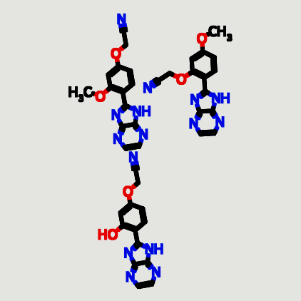 COc1cc(OCC#N)ccc1-c1nc2nccnc2[nH]1.COc1ccc(-c2nc3nccnc3[nH]2)c(OCC#N)c1.N#CCOc1ccc(-c2nc3nccnc3[nH]2)c(O)c1